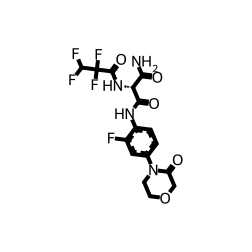 NC(=O)[C@@H](NC(=O)C(F)(F)C(F)F)C(=O)Nc1ccc(N2CCOCC2=O)cc1F